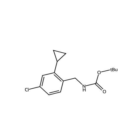 CC(C)(C)OC(=O)NCc1ccc(Cl)cc1C1CC1